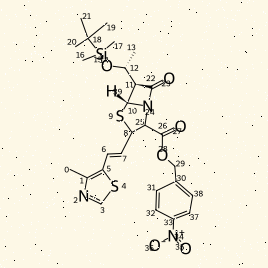 Cc1ncsc1C=CC1S[C@@H]2[C@@H]([C@@H](C)O[Si](C)(C)C(C)(C)C)C(=O)N2C1C(=O)OCc1ccc([N+](=O)[O-])cc1